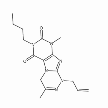 C=CCN1N=C(C)Cn2c1nc1c2c(=O)n(CCCC)c(=O)n1C